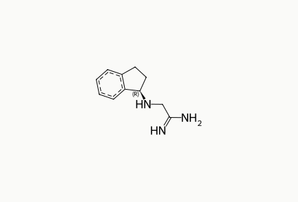 N=C(N)CN[C@@H]1CCc2ccccc21